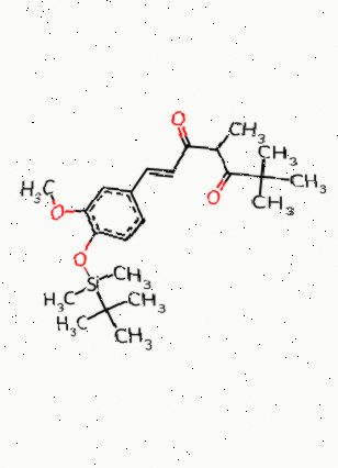 COc1cc(C=CC(=O)C(C)C(=O)C(C)(C)C)ccc1O[Si](C)(C)C(C)(C)C